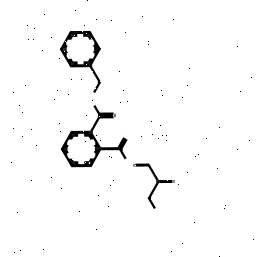 CCC(C)COC(=O)c1ccccc1C(=O)OCc1ccccc1